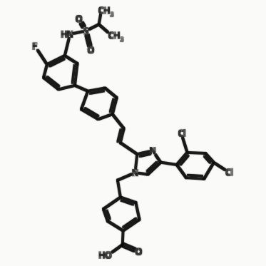 CC(C)S(=O)(=O)Nc1cc(-c2ccc(/C=C/c3nc(-c4ccc(Cl)cc4Cl)cn3Cc3ccc(C(=O)O)cc3)cc2)ccc1F